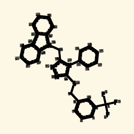 FC(F)(F)c1cccc(CSc2nnc(Cn3c4ccccc4c4ccccc43)n2-c2ccccc2)c1